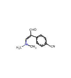 CN(C)/C=C(/C=O)c1ccc(C#N)cc1